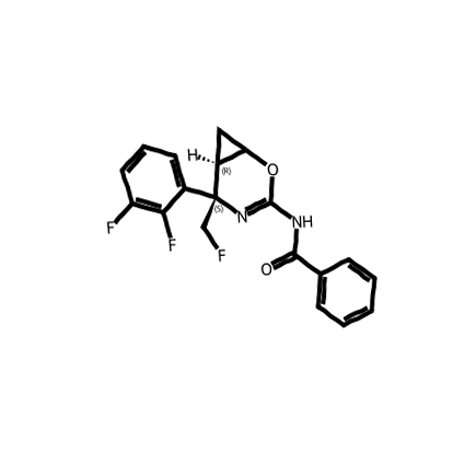 O=C(NC1=N[C@](CF)(c2cccc(F)c2F)[C@H]2CC2O1)c1ccccc1